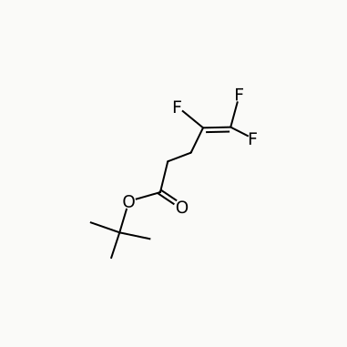 CC(C)(C)OC(=O)CCC(F)=C(F)F